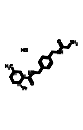 CC(C)[C@@H]1CC[C@@H](C)C[C@H]1C(=O)NCc1ccc(CNC(=O)CN)cc1.Cl